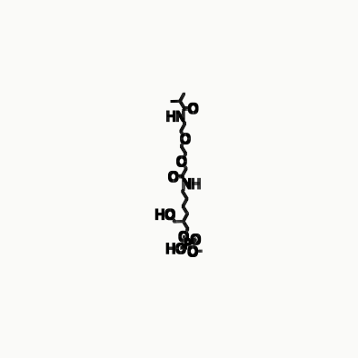 COP(=O)(O)OCC(CO)CCCCNC(=O)COCCOCCNC(=O)C(C)C